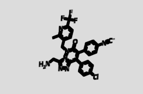 [C-]#[N+]c1ccc(-c2c(-c3ccc(Cl)cc3)c3nnc(CN)n3n(Cc3ccc(C(F)(F)F)nc3C)c2=O)cc1